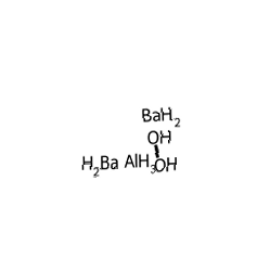 OO.[AlH3].[BaH2].[BaH2]